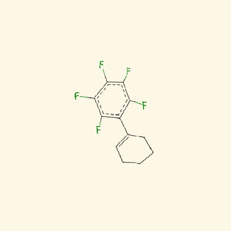 Fc1c(F)c(F)c(C2=CCCCC2)c(F)c1F